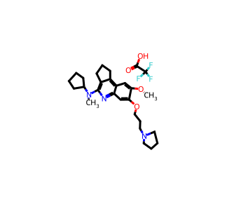 COc1cc2c3c(c(N(C)C4CCCC4)nc2cc1OCCCN1CCCC1)CCC3.O=C(O)C(F)(F)F